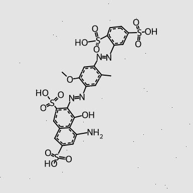 COc1cc(N=Nc2cc(S(=O)(=O)O)ccc2S(=O)(=O)O)c(C)cc1N=Nc1c(S(=O)(=O)O)cc2cc(S(=O)(=O)O)cc(N)c2c1O